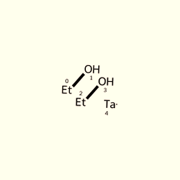 CCO.CCO.[Ta]